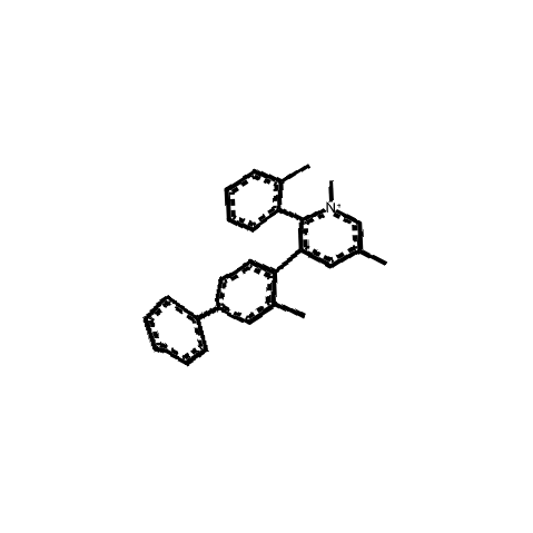 Cc1cc(-c2ccc(-c3ccccc3)cc2C)c(-c2ccccc2C)[n+](C)c1